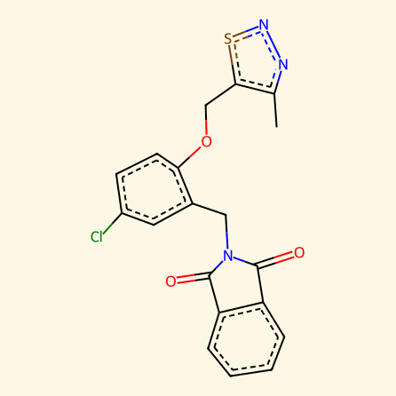 Cc1nnsc1COc1ccc(Cl)cc1CN1C(=O)c2ccccc2C1=O